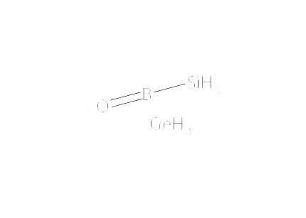 O=B[SiH3].[GeH4]